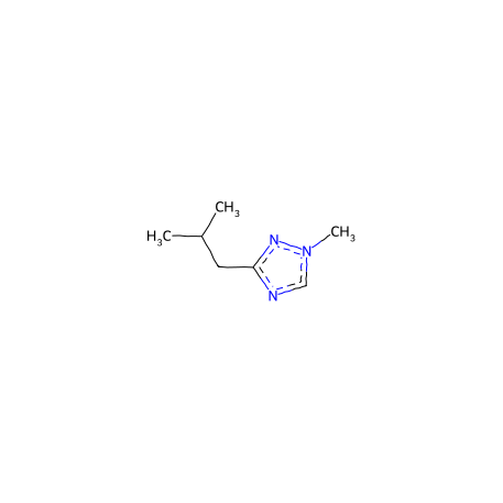 CC(C)Cc1ncn(C)n1